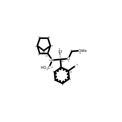 CC[C@](OCOC)(c1ccccc1I)N(C(=O)O)C1CC2CCC1C2